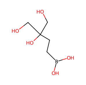 OCC(O)(CO)CCB(O)O